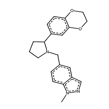 Cn1ncc2cc(CN3CCCC3c3ccc4c(c3)OCCO4)ccc21